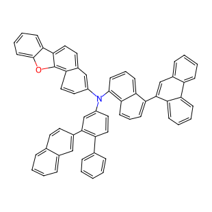 c1ccc(-c2ccc(N(c3ccc4c(ccc5c6ccccc6oc45)c3)c3cccc4c(-c5cc6ccccc6c6ccccc56)cccc34)cc2-c2ccc3ccccc3c2)cc1